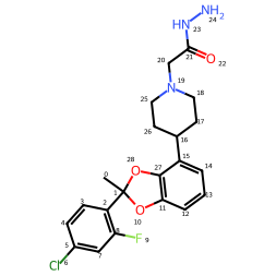 CC1(c2ccc(Cl)cc2F)Oc2cccc(C3CCN(CC(=O)NN)CC3)c2O1